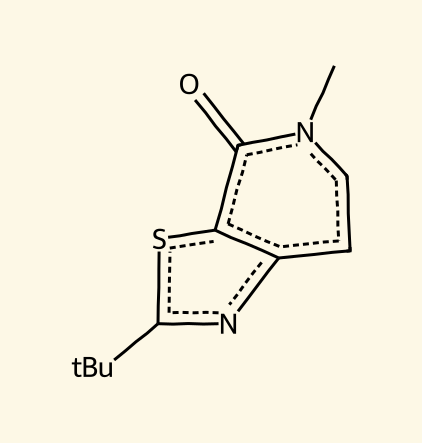 Cn1ccc2nc(C(C)(C)C)sc2c1=O